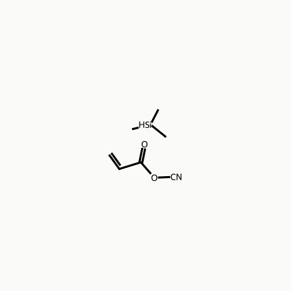 C=CC(=O)OC#N.C[SiH](C)C